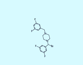 Fc1cc(F)cc(CN2CCN(C(Br)c3cc(F)cc(F)c3)CC2)c1